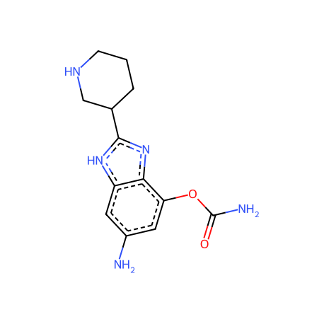 NC(=O)Oc1cc(N)cc2[nH]c(C3CCCNC3)nc12